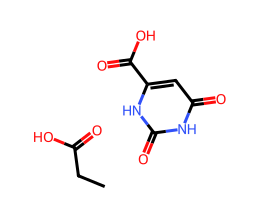 CCC(=O)O.O=C(O)c1cc(=O)[nH]c(=O)[nH]1